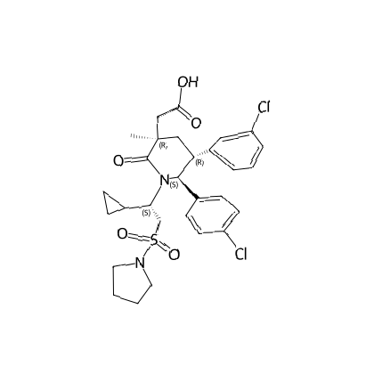 C[C@]1(CC(=O)O)C[C@H](c2cccc(Cl)c2)[C@@H](c2ccc(Cl)cc2)N([C@H](CS(=O)(=O)N2CCCC2)C2CC2)C1=O